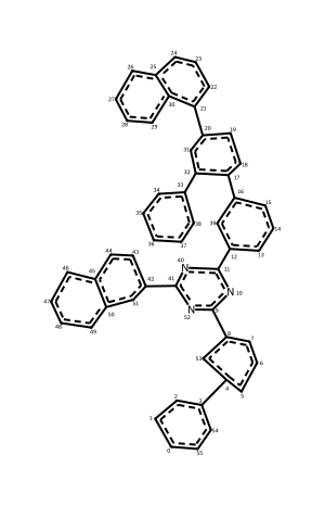 c1ccc(-c2cccc(-c3nc(-c4cccc(-c5ccc(-c6cccc7ccccc67)cc5-c5ccccc5)c4)nc(-c4ccc5ccccc5c4)n3)c2)cc1